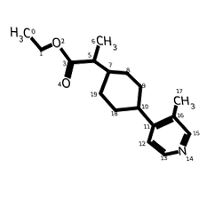 CCOC(=O)C(C)C1CCC(c2ccncc2C)CC1